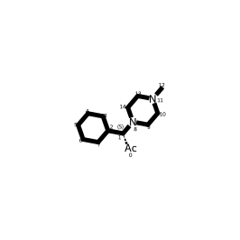 CC(=O)[C@H](C1CCCCC1)N1CCN(C)CC1